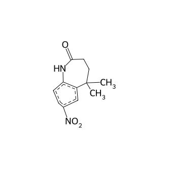 CC1(C)CCC(=O)Nc2ccc([N+](=O)[O-])cc21